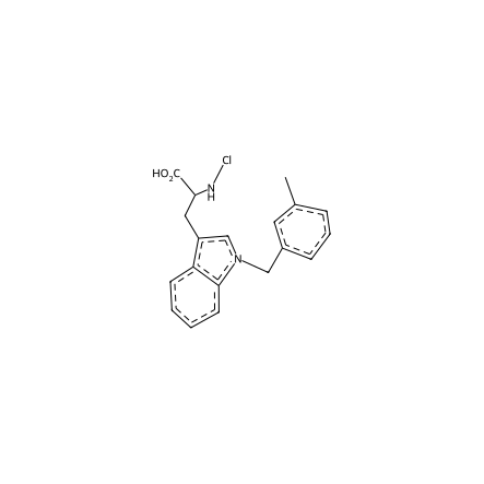 Cc1cccc(Cn2cc(CC(NCl)C(=O)O)c3ccccc32)c1